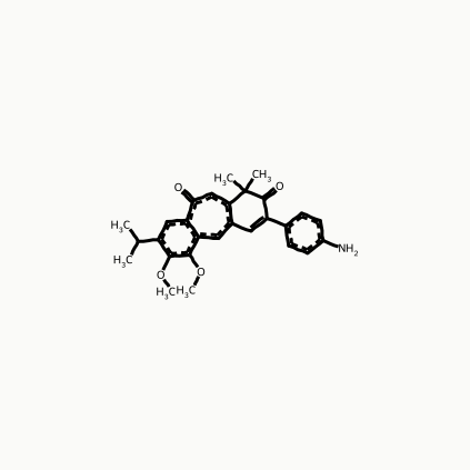 COc1c(C(C)C)cc2c(=O)cc3c(cc2c1OC)C=C(c1ccc(N)cc1)C(=O)C3(C)C